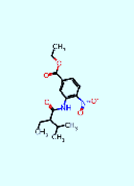 CCOC(=O)c1ccc([N+](=O)[O-])c(NC(=O)C(CC)C(C)C)c1